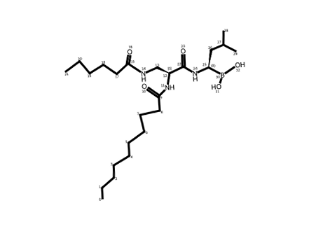 CCCCCCCCCC(=O)N[C@@H](CNC(=O)CCCCC)C(=O)N[C@@H](CC(C)C)B(O)O